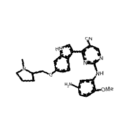 COc1ccc(N)cc1Nc1ncc(C#N)c(-c2c[nH]c3cc(OCC4CCCN4C)ccc23)n1